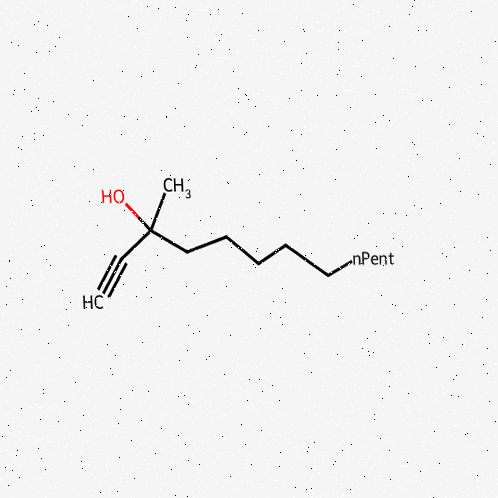 C#CC(C)(O)CCCCCCCCCC